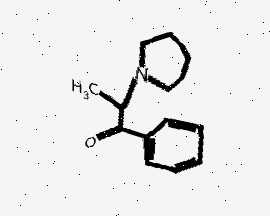 CC(C(=O)c1ccccc1)N1CCCC1